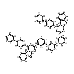 c1ccc(-c2ccc(-c3nc(-c4cccc(-c5cccc(-c6cccc(-c7nc(-c8ccc(-c9ccccc9)cc8)c8c(n7)sc7ccccc78)c6)c5)c4)nc4sc5ccccc5c34)cc2)cc1